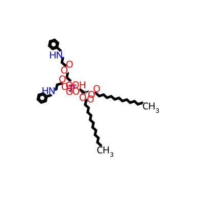 CCCCCCCCCCCCCC(=O)OC[C@H](COP(=O)(O)OCC(COC(=O)CCNCc1ccccc1)OC(=O)CCNCc1ccccc1)OC(=O)CCCCCCCCCCCCC